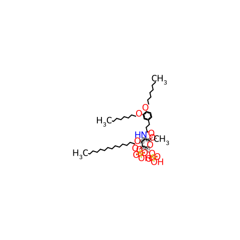 CCCCCCCCCCCCCC(=O)O[C@@H]1[C@@H](NC(=O)CCc2ccc(OCCCCCCCC)c(OCCCCCCCC)c2)[C@@H](OC)O[C@H](COS(=O)(=O)O)[C@H]1OS(=O)(=O)O